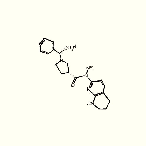 CCCN(C(=O)[C@@H]1CCN(C(C(=O)O)c2ccccc2)C1)c1ccc2c(n1)NCCC2